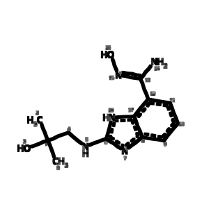 CC(C)(O)CNc1nc2cccc(C(N)=NO)c2[nH]1